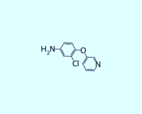 Nc1ccc(Oc2cccnc2)c(Cl)c1